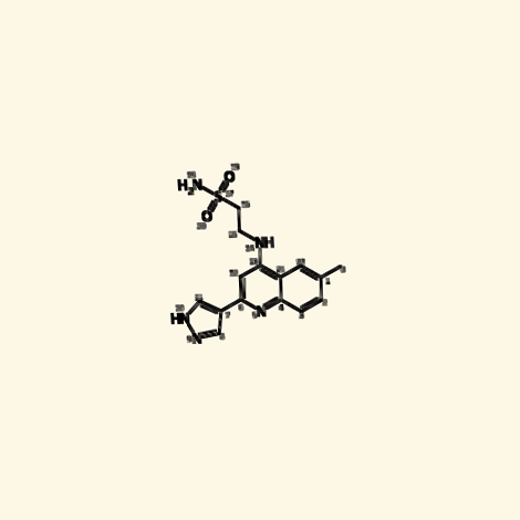 Cc1ccc2nc(-c3cn[nH]c3)cc(NCCS(N)(=O)=O)c2c1